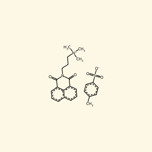 C[N+](C)(C)CCCN1C(=O)c2cccc3cccc(c23)C1=O.Cc1ccc(S(=O)(=O)[O-])cc1